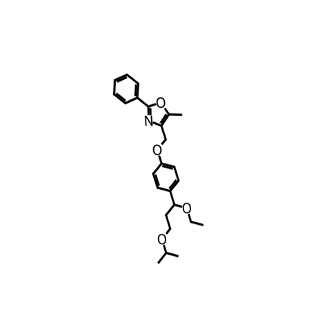 CCOC(CCOC(C)C)c1ccc(OCc2nc(-c3ccccc3)oc2C)cc1